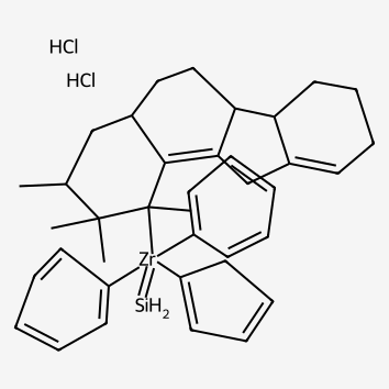 CC1CC2CCC3C(=C2[C](C)([Zr](=[SiH2])([C]2=CC=CC2)([c]2ccccc2)[c]2ccccc2)C1(C)C)CC1=CCCCC13.Cl.Cl